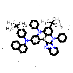 CC(C)(C)c1ccc(N(c2ccc3c(c2)N(c2ccccc2)c2cc(C(C)(C)C)cc4c2B3c2nc3ccccn3c2N4c2ccccc2)c2cccc3ccccc23)cc1